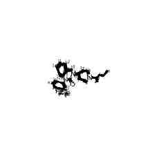 CCCC(C)N1CCC(N(Cc2ccccc2)C(=O)Nc2cccc(S(F)(F)(F)(F)F)c2)CC1